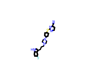 N#Cc1ccnc(Sc2ccc(N3CCN(CCCc4c[nH]c5ccc(F)cc45)CC3)cc2)n1